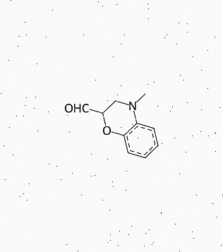 CN1CC(C=O)Oc2ccccc21